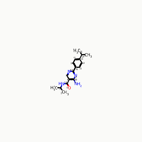 CC(C)NC(=O)c1cnc(-c2ccc(C(C)C)cc2)nc1N